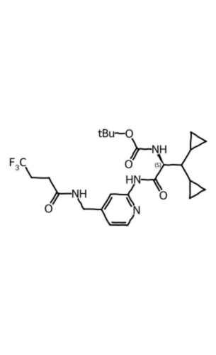 CC(C)(C)OC(=O)N[C@H](C(=O)Nc1cc(CNC(=O)CCC(F)(F)F)ccn1)C(C1CC1)C1CC1